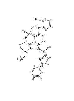 NC[C@@H]1CCCN(c2c(/C=C(\F)c3ccn(-c4ccnnc4)n3)ccc(Oc3ccccc3F)c2C(F)(F)F)C1